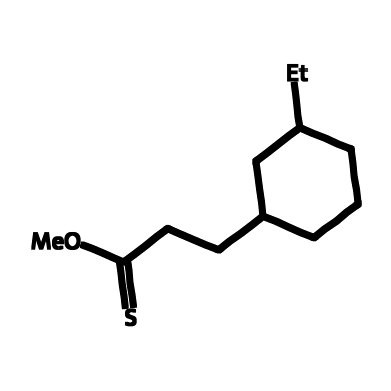 CCC1CCCC(CCC(=S)OC)C1